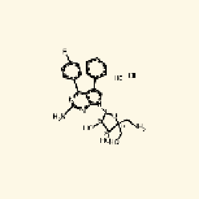 Cl.Cl.NC[C@]1(CO)O[C@@H](n2cc(-c3ccccc3)c3c(-c4ccc(F)cc4)nc(N)nc32)[C@H](O)[C@@H]1O